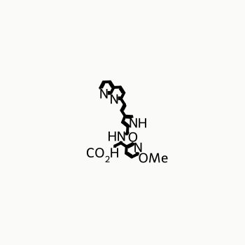 COc1ccc(C(CC(=O)O)NC(=O)c2cc(C=Cc3ccc4cccnc4n3)c[nH]2)cn1